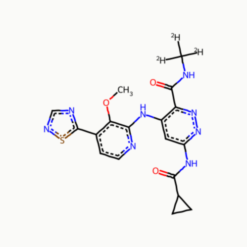 [2H]C([2H])([2H])NC(=O)c1nnc(NC(=O)C2CC2)cc1Nc1nccc(-c2ncns2)c1OC